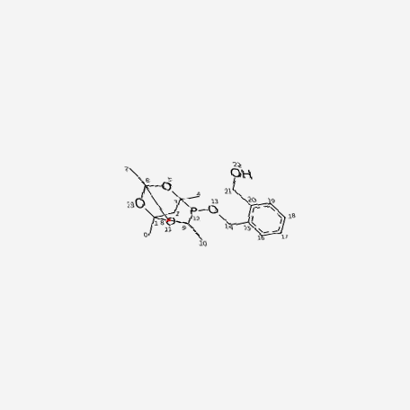 CC12CC3(C)OC(C)(CC(C)(O1)P3OCc1ccccc1CO)O2